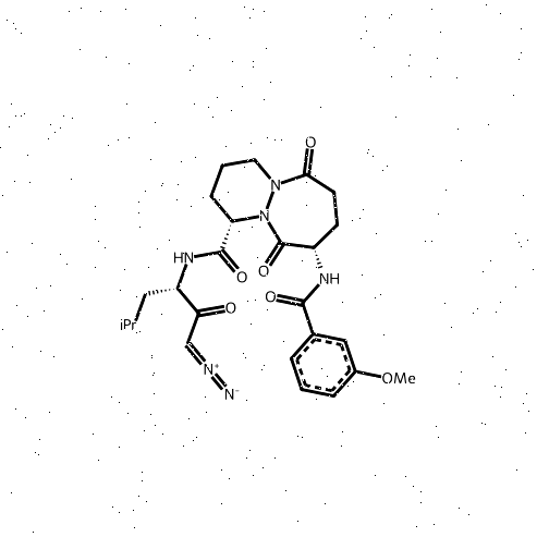 COc1cccc(C(=O)N[C@H]2CCC(=O)N3CCC[C@@H](C(=O)N[C@@H](CC(C)C)C(=O)C=[N+]=[N-])N3C2=O)c1